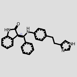 O=C1Nc2ccccc2/C1=C(/Nc1ccc(CCc2c[nH]cn2)cc1)c1ccccc1